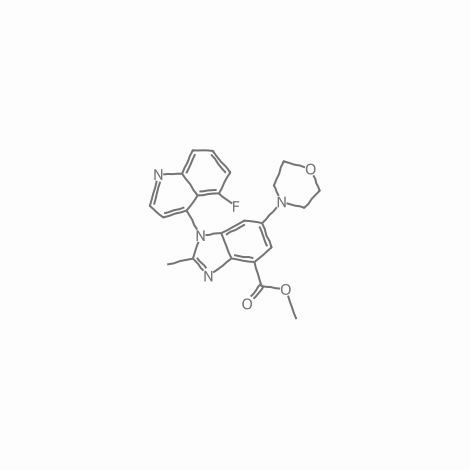 COC(=O)c1cc(N2CCOCC2)cc2c1nc(C)n2-c1ccnc2cccc(F)c12